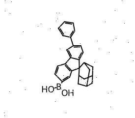 OB(O)c1ccc2c(c1)C1(c3ccc(-c4ccccc4)cc3-2)C2CC3CC(C2)CC1C3